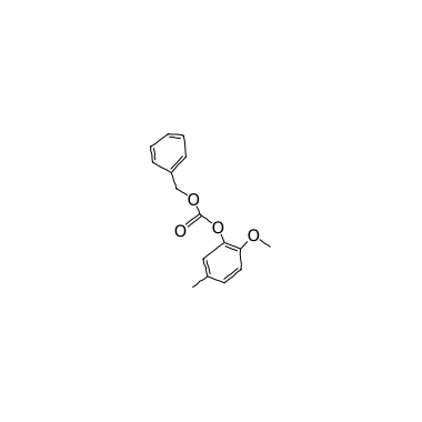 COc1ccc(C)cc1OC(=O)OCc1ccccc1